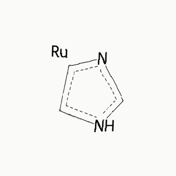 [Ru].c1c[nH]cn1